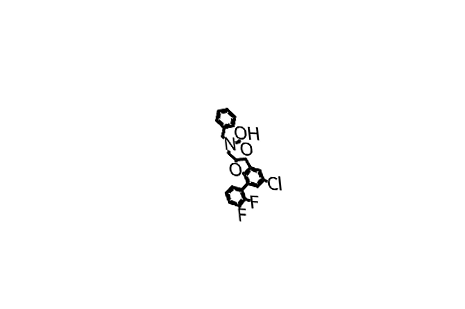 O=C(O)N(Cc1ccccc1)CC1Cc2cc(Cl)cc(-c3cccc(F)c3F)c2O1